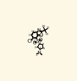 CN(C)[C@H]1CC[C@@H](S(=O)(=O)c2c(Cl)ccc3nc(C(C)(C)C)oc23)C1